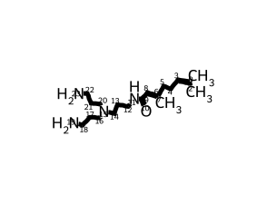 CC(C)=CCC/C(C)=C/C(=O)NCCCN(CCCN)CCCN